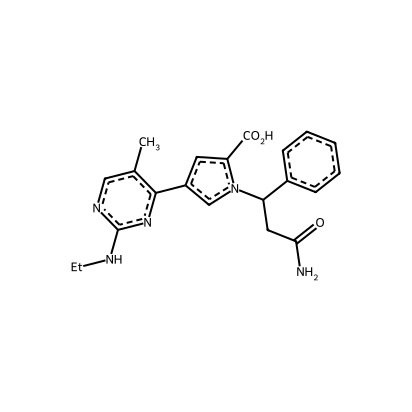 CCNc1ncc(C)c(-c2cc(C(=O)O)n(C(CC(N)=O)c3ccccc3)c2)n1